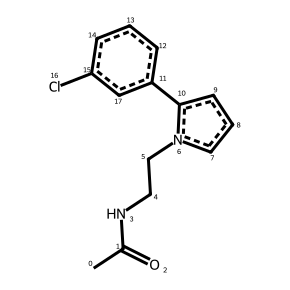 CC(=O)NCCn1cccc1-c1cccc(Cl)c1